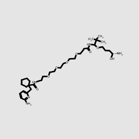 CC(C)(C)C(NC(=O)CCOCCOCCOCCOCCNC(=O)C1(Cc2cccc(N)n2)CCCCC1)OCCC[C@H](N)O